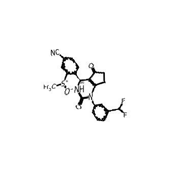 C[S+]([O-])c1cc(C#N)ccc1[C@@H]1NC(=O)N(c2cccc(C(F)F)c2)C2=C1C(=O)CC2